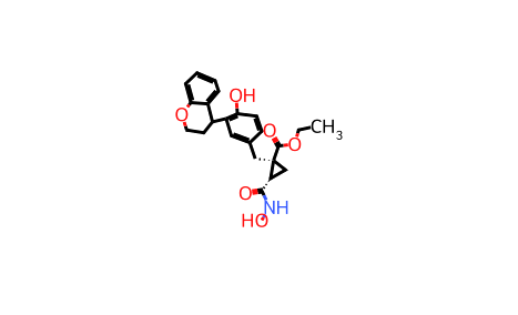 CCOC(=O)[C@@]1(Cc2ccc(O)c(C3CCOc4ccccc43)c2)C[C@@H]1C(=O)NO